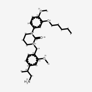 CCCCCOc1cc(N2CCCN(Cc3ccc(C(C)CN)cc3OC)C2=O)ccc1OC